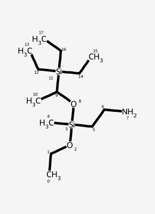 CCO[Si](C)(CCN)OC(C)[Si](CC)(CC)CC